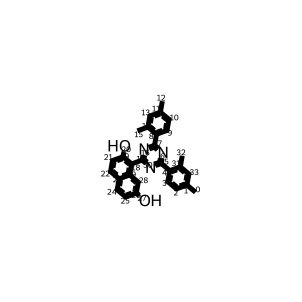 Cc1ccc(-c2nc(-c3ccc(C)cc3C)nc(-c3c(O)ccc4ccc(O)cc34)n2)c(C)c1